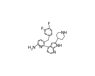 Nc1ccc(Cc2ccc(F)c(F)c2)c(-c2ccnc3[nH]c(C4CCNCC4)cc23)n1